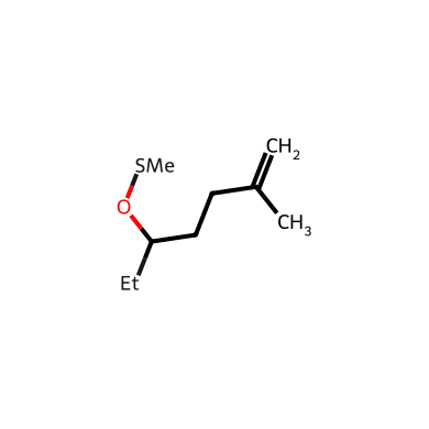 C=C(C)CCC(CC)OSC